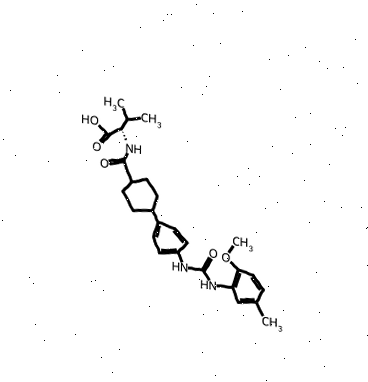 COc1ccc(C)cc1NC(=O)Nc1ccc(C2CCC(C(=O)N[C@H](C(=O)O)C(C)C)CC2)cc1